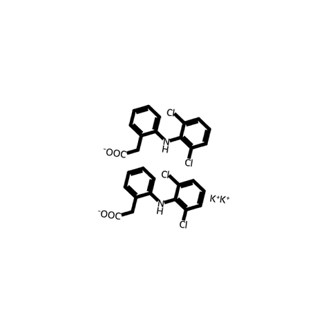 O=C([O-])Cc1ccccc1Nc1c(Cl)cccc1Cl.O=C([O-])Cc1ccccc1Nc1c(Cl)cccc1Cl.[K+].[K+]